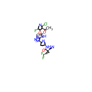 C[C@@H](OC(=O)Nc1c(-c2ccc(NC(=O)[C@]3(C#N)C[C@H]3C(F)F)cn2)nnn1C)c1cc(F)cnc1Cl